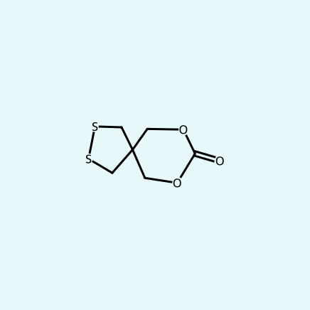 O=C1OCC2(CO1)CSSC2